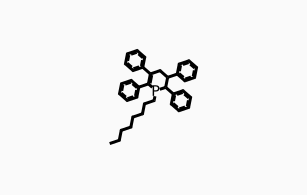 CCCCCCCCP1C(c2ccccc2)=C(c2ccccc2)CC(c2ccccc2)C1c1ccccc1